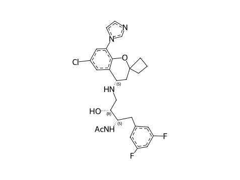 CC(=O)N[C@@H](Cc1cc(F)cc(F)c1)[C@H](O)CN[C@H]1CC2(CCC2)Oc2c1cc(Cl)cc2-n1ccnc1